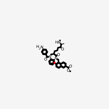 CN[C@@H](C)C(=O)CCCC1CN(C(=O)c2ccc(N)cc2)c2ccccc2N(Cc2c(OC)ccc3cc(C(=O)OC)ccc23)C1=O